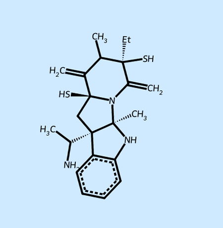 C=C1N2[C@](S)(C[C@]3(C(C)N)c4ccccc4N[C@]23C)C(=C)C(C)[C@]1(S)CC